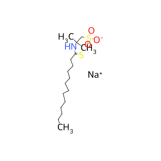 CCCCCCCCCCCCC(=S)NC(C)(C)CS(=O)(=O)[O-].[Na+]